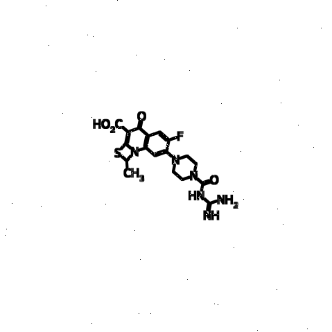 CC1Sc2c(C(=O)O)c(=O)c3cc(F)c(N4CCN(C(=O)NC(=N)N)CC4)cc3n21